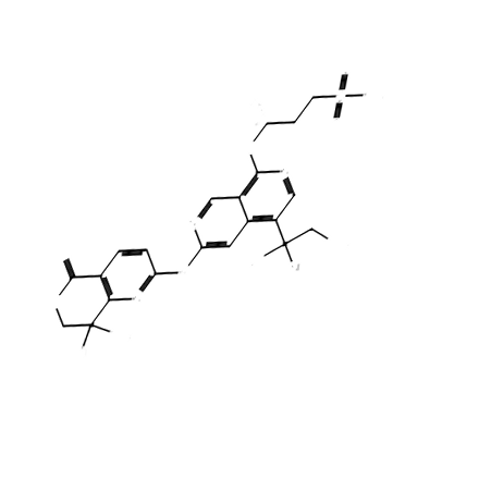 CCC(C)(N)c1cnc(O[C@H](C)CCS(C)(=O)=O)c2cnc(Nc3ccc4c(n3)C(C)(C)COC4=O)cc12